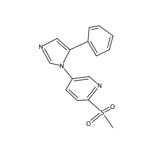 CS(=O)(=O)c1ccc(-n2cncc2-c2ccccc2)cn1